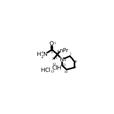 CCCC(C)(C(N)=O)N1CCCCC1.Cl.Cl